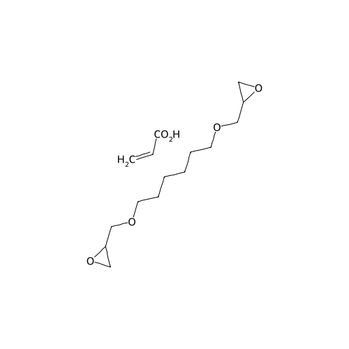 C(CCCOCC1CO1)CCOCC1CO1.C=CC(=O)O